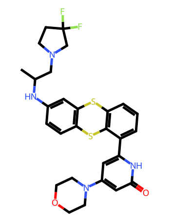 CC(CN1CCC(F)(F)C1)Nc1ccc2c(c1)Sc1cccc(-c3cc(N4CCOCC4)cc(=O)[nH]3)c1S2